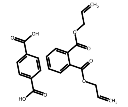 C=CCOC(=O)c1ccccc1C(=O)OCC=C.O=C(O)c1ccc(C(=O)O)cc1